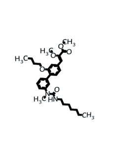 CCCCCCCNC(=O)N(C)c1cccc(-c2ccc(/C=C(\OC)C(=O)OC)cc2OCCCC)c1